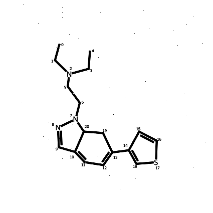 CCN(CC)CCN1N=CC2=CC=C(c3ccsc3)CC21